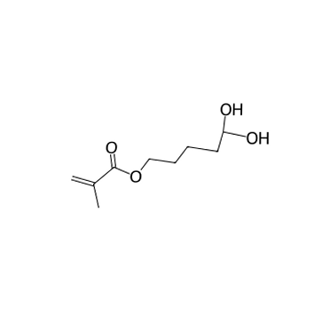 C=C(C)C(=O)OCCCCC(O)O